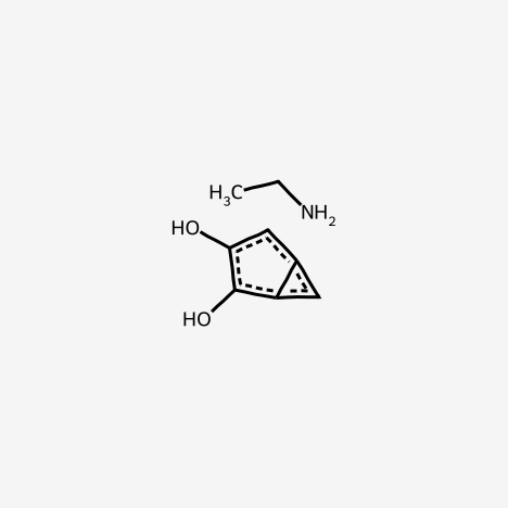 CCN.Oc1cc2cc-2c1O